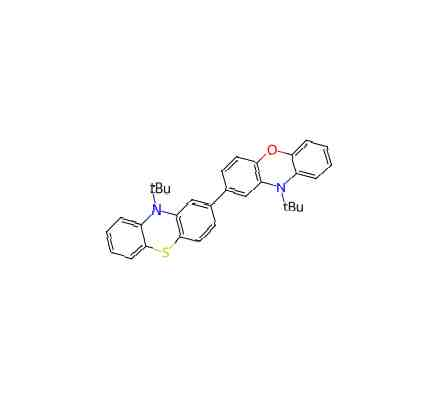 CC(C)(C)N1c2ccccc2Oc2ccc(-c3ccc4c(c3)N(C(C)(C)C)c3ccccc3S4)cc21